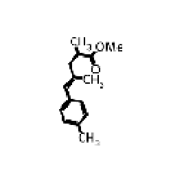 COC(=O)C(C)C/C(C)=C/c1ccc(C)cc1